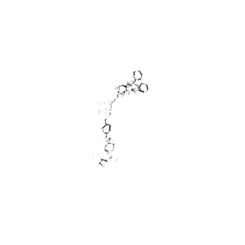 Cc1ccsc1C(=O)N1CCC(S(=O)(=O)c2ccc(CCNCC(O)COc3ccc(O[Si](c4ccccc4)(c4ccccc4)C(C)(C)C)cc3)cc2)CC1